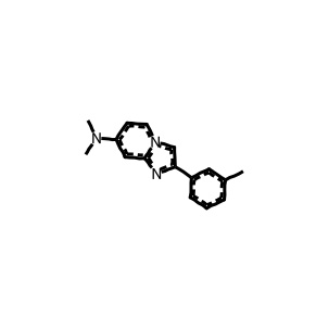 Cc1cccc(-c2cn3ccc(N(C)C)cc3n2)c1